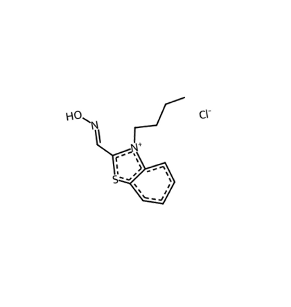 CCCC[n+]1c(C=NO)sc2ccccc21.[Cl-]